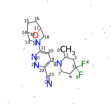 CC1CC(F)(F)CCN1c1cc(N2CC3CCC(C2)O3)nnc1C#N